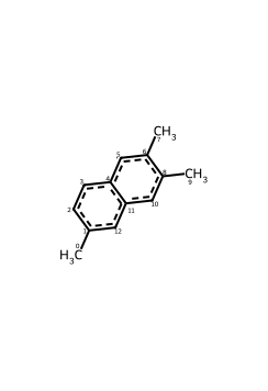 Cc1ccc2[c]c(C)c(C)cc2c1